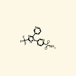 NS(=O)(=O)c1ccc(-n2nc(C(F)(F)F)nc2-c2cccnc2)cn1